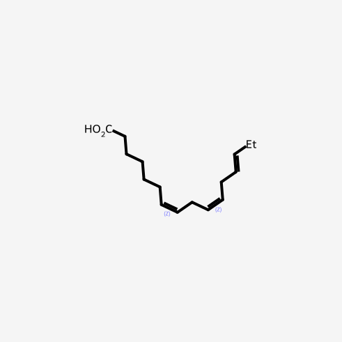 CCC=CC/C=C\C/C=C\CCCCCC(=O)O